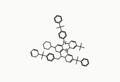 CC(C)(C)C1=CC2B3C4=CC(C(C)(C)c5ccccc5)=CCC4C(Cc4ccc(C(C)(C)C5C=CC=CC5)cc4)C4=C3C(=CC(C3CCCCC3)C4)N(c3ccc(C(C)(C)c4ccccc4)cc3)C2C=C1